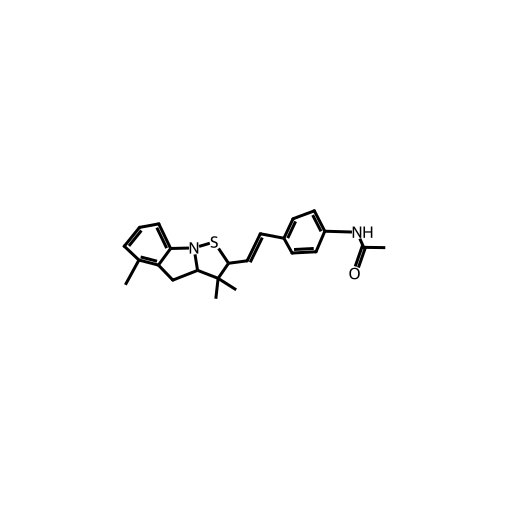 CC(=O)Nc1ccc(C=CC2SN3c4cccc(C)c4CC3C2(C)C)cc1